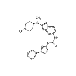 CN1CCC(N(C)c2nc3cc(NC(=O)Oc4ccc(-c5ccccc5)s4)ccc3o2)CC1